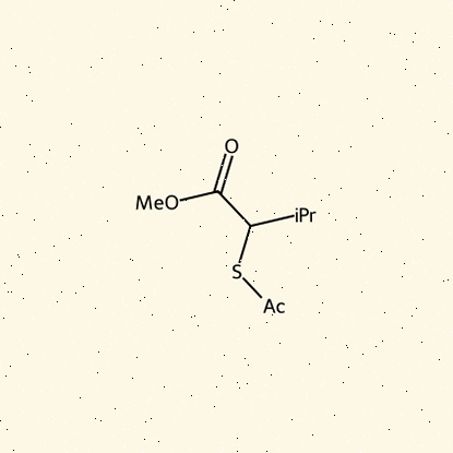 COC(=O)C(SC(C)=O)C(C)C